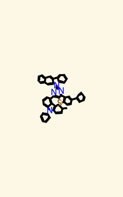 CC1C=Cc2c(c3c(-c4nc(-n5c6ccccc6c6cc7ccccc7cc65)nc5c4sc4ccc(-c6ccccc6)cc45)cccc3n2-c2ccccc2)C1